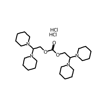 Cl.Cl.O=C(OCC(N1CCCCC1)N1CCCCC1)OCC(N1CCCCC1)N1CCCCC1